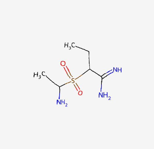 CCC(C(=N)N)S(=O)(=O)C(C)N